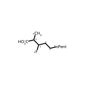 CCCCCCCC(F)C(C)C(=O)O